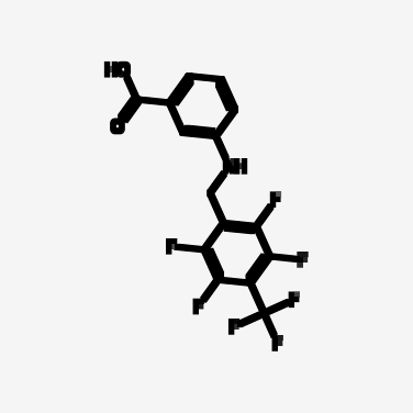 O=C(O)c1cccc(NCc2c(F)c(F)c(C(F)(F)F)c(F)c2F)c1